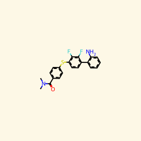 CN(C)C(=O)c1ccc(Sc2ccc(-c3ccccc3N)c(F)c2F)cc1